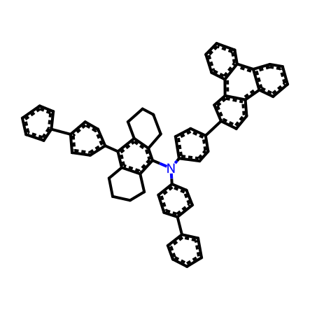 c1ccc(-c2ccc(-c3c4c(c(N(c5ccc(-c6ccccc6)cc5)c5ccc(-c6ccc7c8ccccc8c8ccccc8c7c6)cc5)c5c3CCCC5)CCCC4)cc2)cc1